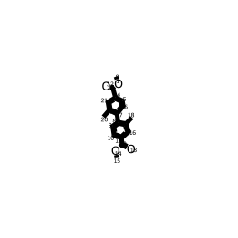 COC(=O)c1ccc(-c2ccc(C(=O)OC)cc2C)c(C)c1